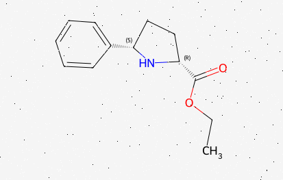 CCOC(=O)[C@H]1CC[C@@H](c2ccccc2)N1